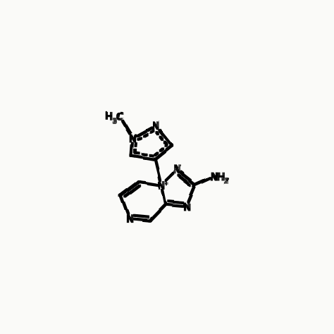 Cn1cc([N+]23C=CN=CC2=NC(N)=N3)cn1